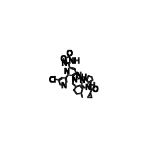 CC1CCC(Cn2c(N3CCN(C(=O)C4CC4)[C@@H]4CCC[C@H]43)nc3cc(-c4noc(=O)[nH]4)nc(-c4cncc(Cl)c4)c32)CC1